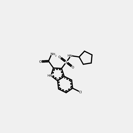 NC(=O)c1[nH]c2ccc(Cl)cc2c1S(=O)(=O)NC1CCCC1